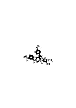 COc1ccc(-c2cn([C@@H]3O[C@H](C)[C@@H](O)[C@H]3O)c3c2CN(Nc2cccc(NC=O)c2)C=N3)cc1